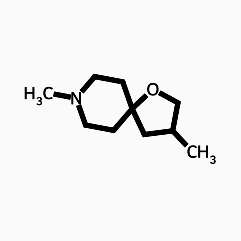 CC1COC2(CCN(C)CC2)C1